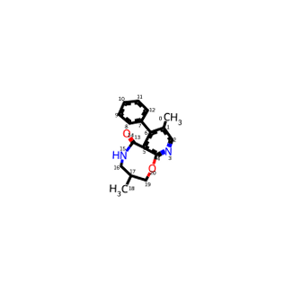 Cc1cnc2c(c1-c1ccccc1)C(=O)NCC(C)CO2